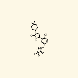 CC1(C)CCC(n2nc(-c3cc(CNC(=O)C(F)(F)F)ccc3Cl)[nH]c2=O)CC1